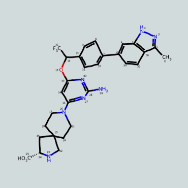 Cc1n[nH]c2cc(-c3ccc(C(Oc4cc(N5CCC6(CC5)CN[C@H](C(=O)O)C6)nc(N)n4)C(F)(F)F)cc3)ccc12